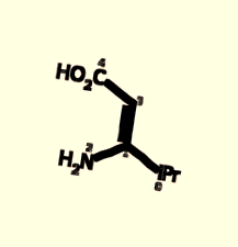 CC(C)C(N)=CC(=O)O